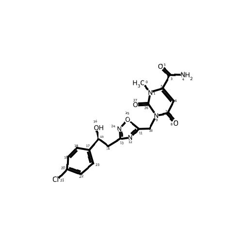 Cn1c(C(N)=O)cc(=O)n(Cc2nc(C[C@H](O)c3ccc(Cl)cc3)no2)c1=O